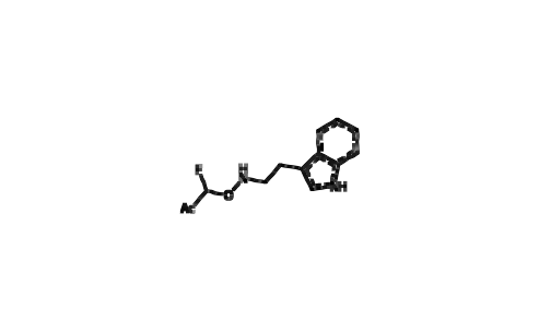 CC(=O)C(F)ONCCc1c[nH]c2ccccc12